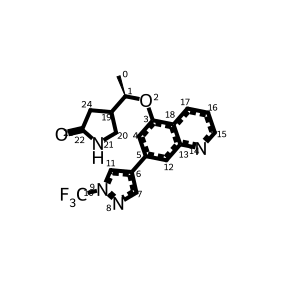 C[C@@H](Oc1cc(-c2cnn(C(F)(F)F)c2)cc2ncccc12)C1CNC(=O)C1